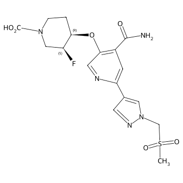 CS(=O)(=O)Cn1cc(-c2cc(C(N)=O)c(O[C@@H]3CCN(C(=O)O)C[C@@H]3F)cn2)cn1